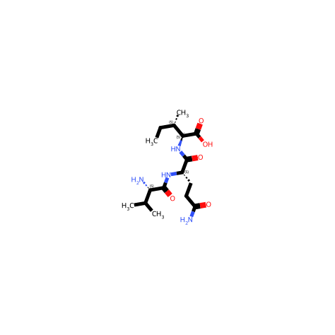 CC[C@H](C)[C@H](NC(=O)[C@H](CCC(N)=O)NC(=O)[C@@H](N)C(C)C)C(=O)O